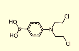 OB(O)c1ccc(N(CCCl)CCCl)cc1